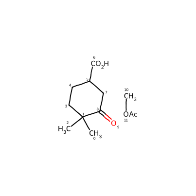 CC1(C)CCC(C(=O)O)CC1=O.COC(C)=O